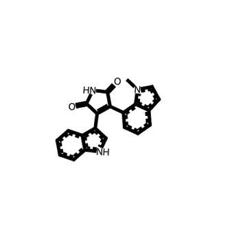 Cn1ccc2cccc(C3=C(c4c[nH]c5ccccc45)C(=O)NC3=O)c21